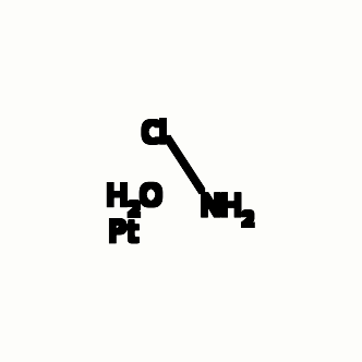 NCl.O.[Pt]